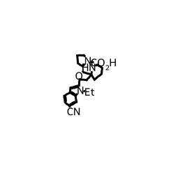 CCn1c(CCC2(C(=O)[C@H]3CCCN3C(=O)O)CCCCN2)cc2ccc(C#N)cc21